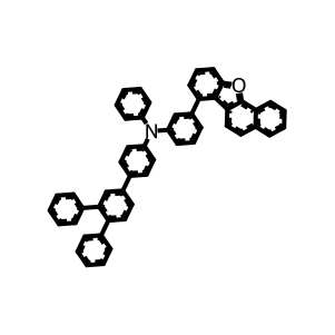 c1ccc(-c2ccc(-c3ccc(N(c4ccccc4)c4cccc(-c5cccc6oc7c8ccccc8ccc7c56)c4)cc3)cc2-c2ccccc2)cc1